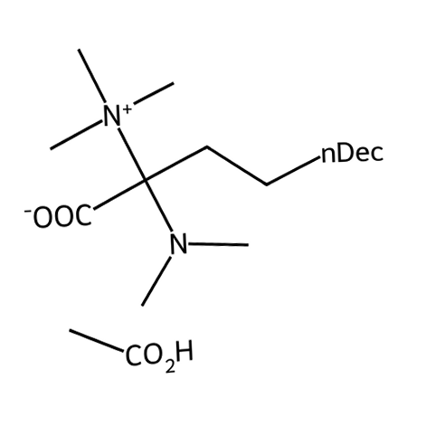 CC(=O)O.CCCCCCCCCCCCC(C(=O)[O-])(N(C)C)[N+](C)(C)C